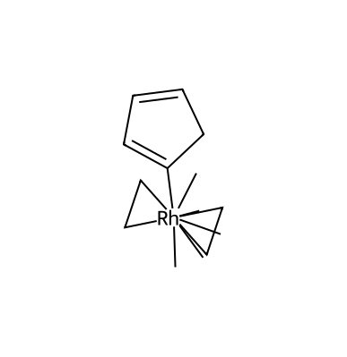 [CH3][Rh]12([CH3])([CH3])([CH3])([CH3])([C]3=CC=CC3)([CH2][CH2]1)[CH2][CH2]2